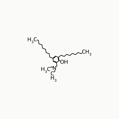 CCCCCCCCCc1cc(CCCCCCCCC)c(O)c(CN(CC)CC)c1